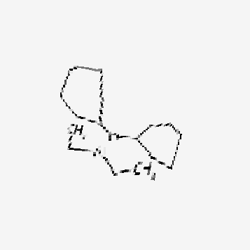 C1CCC(OC2CCCCC2)CC1.C[CH2][Al][CH2]C